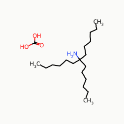 CCCCCCC(N)(CCCCCC)CCCCCC.O=C(O)O